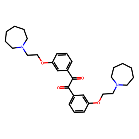 O=C(C(=O)c1cccc(OCCN2CCCCCC2)c1)c1cccc(OCCN2CCCCCC2)c1